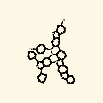 CC(C)(C)c1ccc(N2B3c4cc5c(-c6ccccc6)oc(-c6ccccc6)c5cc4-n4c5cc6sc7ccccc7c6cc5c5ccc(c3c54)-c3cc4c(cc32)sc2cc(C(C)(C)C)ccc24)cc1